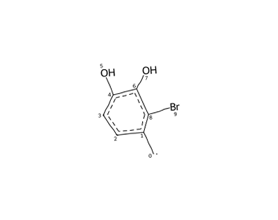 [CH2]c1ccc(O)c(O)c1Br